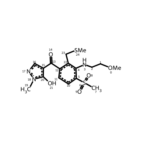 COCCNc1c(S(C)(=O)=O)ccc(C(=O)c2cnn(C)c2O)c1CSC